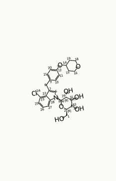 OC[C@H]1O[C@@H](n2cc(Cc3ccc(OC4CCOCC4)cc3)c3c(Cl)cccc32)[C@H](O)[C@@H](O)[C@@H]1O